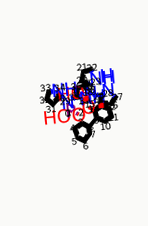 OP(Oc1ccccc1-c1ccccc1OP(O)N(c1ccc[nH]1)c1ccc[nH]1)N(c1ccc[nH]1)c1ccc[nH]1